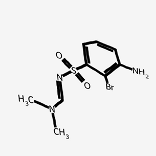 CN(C)C=NS(=O)(=O)c1cccc(N)c1Br